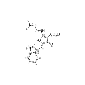 CCOC(=O)C1=C(NCCN(C)C)OC(=Cc2c[nH]c3ncccc23)C1=O